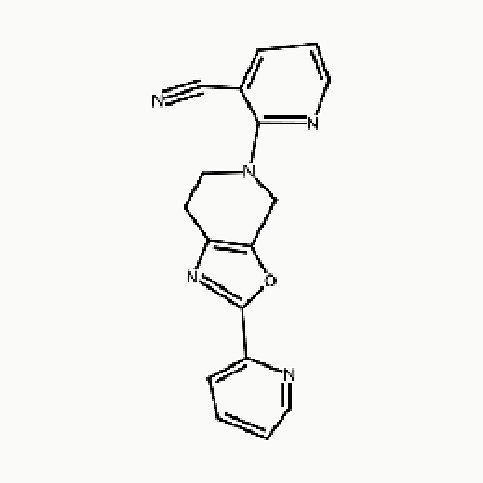 N#Cc1cccnc1N1CCc2nc(-c3ccccn3)oc2C1